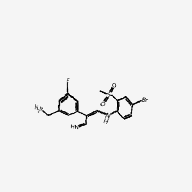 CS(=O)(=O)c1cc(Br)ccc1N/C=C(\C=N)c1cc(F)cc(CN)c1